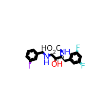 O=C(O)N[C@@H](Cc1cc(F)cc(F)c1)[C@@H](O)CNCc1cccc(I)c1